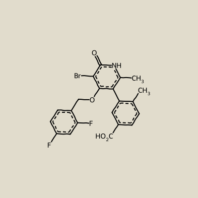 Cc1ccc(C(=O)O)cc1-c1c(C)[nH]c(=O)c(Br)c1OCc1ccc(F)cc1F